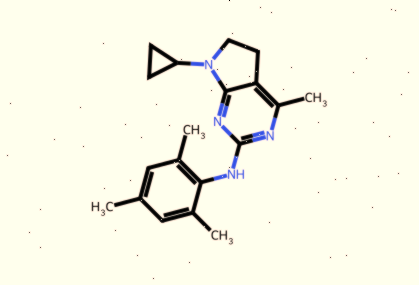 Cc1cc(C)c(Nc2nc(C)c3c(n2)N(C2CC2)CC3)c(C)c1